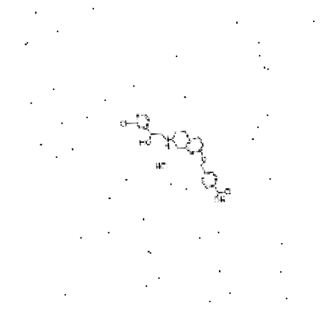 Cl.O=C(O)c1ccc(COc2ccc3c(c2)C[C@@H](NC[C@@H](O)c2cccc(Cl)c2)CC3)cc1